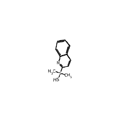 CS(C)(S)c1ccc2ccccc2n1